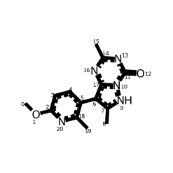 COc1ccc(-c2c(C)[nH]n3c(=O)nc(C)nc23)c(C)n1